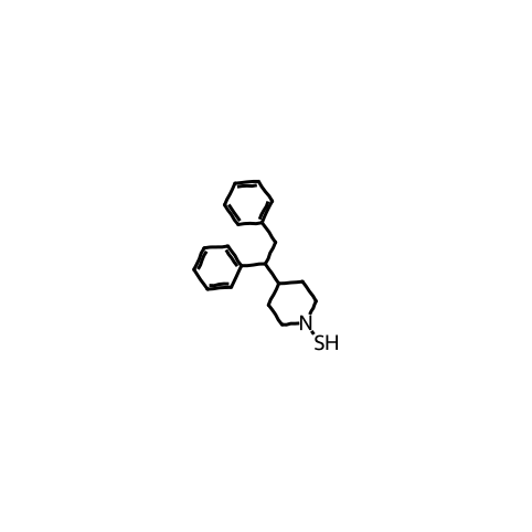 SN1CCC(C(Cc2ccccc2)c2ccccc2)CC1